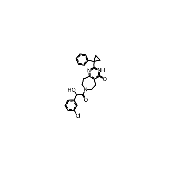 O=C([C@H](O)c1cccc(Cl)c1)N1CCc2nc(C3(c4ccccc4)CC3)[nH]c(=O)c2CC1